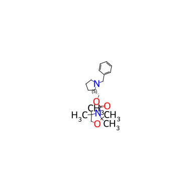 CC1(C)COC(C)(C)N1C(=O)OC[C@@H]1CCCN1Cc1ccccc1